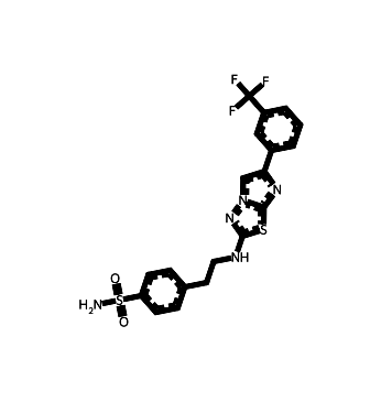 NS(=O)(=O)c1ccc(CCNc2nn3cc(-c4cccc(C(F)(F)F)c4)nc3s2)cc1